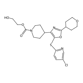 O=C(OCCO)N1CCC(c2nc(C3CCOCC3)oc2Sc2ccc(Cl)cn2)CC1